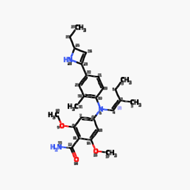 CC/C(C)=C\N(c1cc(OC)c(C(N)=O)c(OC)c1)c1ccc(C2=CC(CC)N2)cc1C